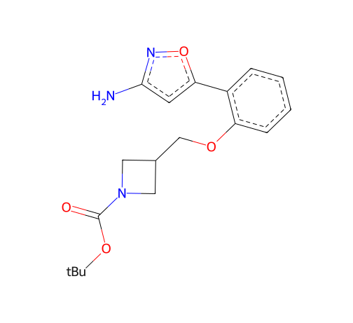 CC(C)(C)OC(=O)N1CC(COc2ccccc2-c2cc(N)no2)C1